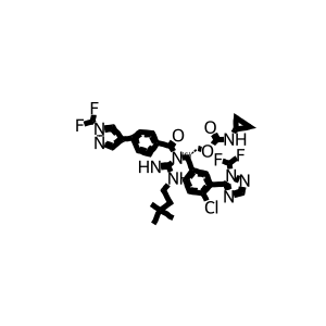 CC(C)(C)CCNC(=N)N(C(=O)c1ccc(-c2cnn(C(F)F)c2)cc1)[C@H](COC(=O)NC1CC1)c1ccc(Cl)c(-c2ncnn2C(F)F)c1